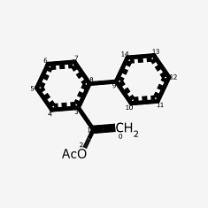 C=C(OC(C)=O)c1ccccc1-c1ccccc1